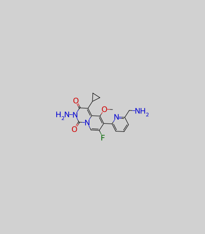 COc1c(-c2cccc(CN)n2)c(F)cn2c(=O)n(N)c(=O)c(C3CC3)c12